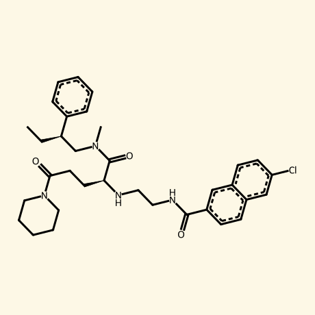 CC[C@H](CN(C)C(=O)[C@H](CCC(=O)N1CCCCC1)NCCNC(=O)c1ccc2cc(Cl)ccc2c1)c1ccccc1